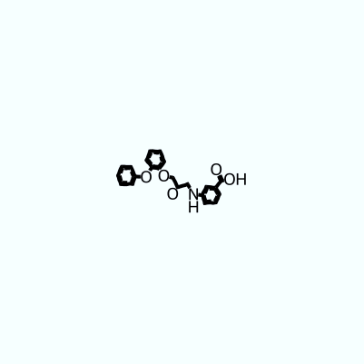 O=C(CNc1cccc(C(=O)O)c1)COc1ccccc1Oc1ccccc1